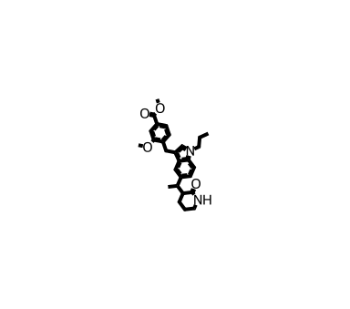 CCCn1cc(Cc2ccc(C(=O)OC)cc2OC)c2cc(C(C)C3CCCNC3=O)ccc21